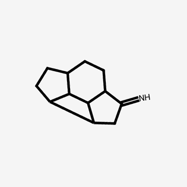 N=C1CC2C3CCC4CCC1C2C43